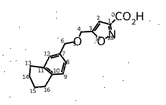 O=C(O)c1cc(COCc2ccc3c(c2)CCCC3)on1